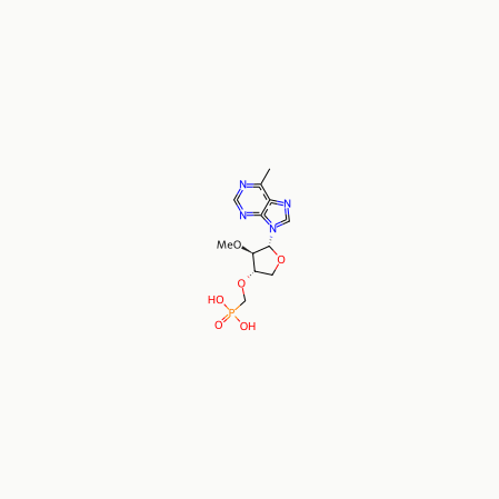 CO[C@@H]1[C@@H](OCP(=O)(O)O)CO[C@H]1n1cnc2c(C)ncnc21